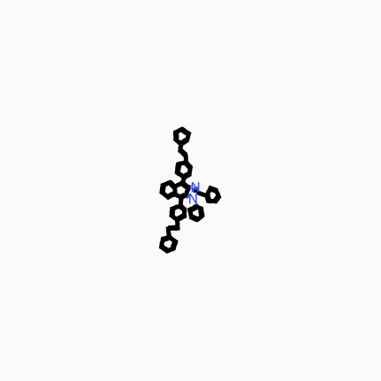 C(=C\c1ccc(-c2c3ccccc3c(-c3ccc(/C=C/c4ccccc4)cc3)c3c2nc(-c2ccccc2)n3-c2ccccc2)cc1)/c1ccccc1